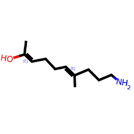 C/C(O)=C\CC/C=C(\C)CCCN